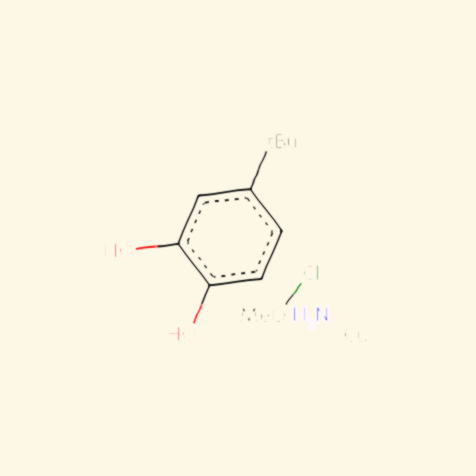 CC(C)(C)c1ccc(O)c(O)c1.COCl.N.[Cu]